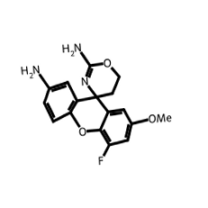 COc1cc(F)c2c(c1)C1(CCOC(N)=N1)c1cc(N)ccc1O2